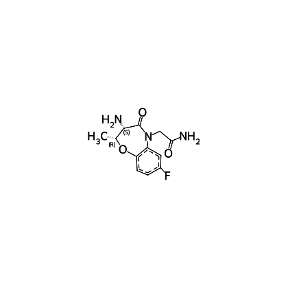 C[C@H]1Oc2ccc(F)cc2N(CC(N)=O)C(=O)[C@H]1N